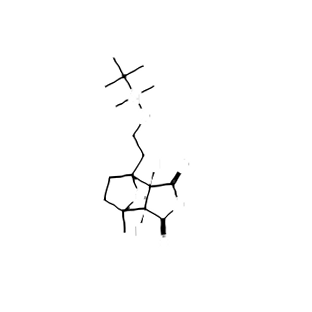 CC12CCC(CCO[Si](C)(C)C(C)(C)C)(O1)[C@@H]1C(=O)OC(=O)[C@@H]12